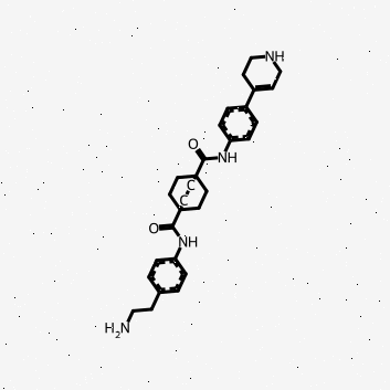 NCCc1ccc(NC(=O)C23CCC(C(=O)Nc4ccc(C5=CCNCC5)cc4)(CC2)CC3)cc1